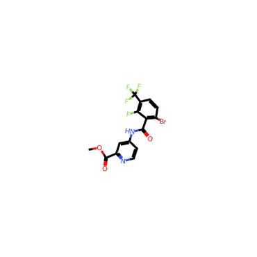 COC(=O)c1cc(NC(=O)c2c(Br)ccc(C(F)(F)F)c2F)ccn1